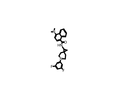 CN(C)c1ccc(C(=O)NC2CC23CCN(c2cc(F)cc(F)c2)CC3)c2ccccc12